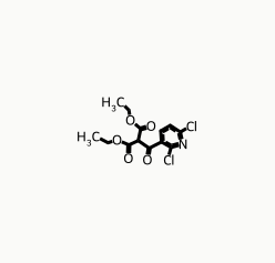 CCOC(=O)C(C(=O)OCC)C(=O)c1ccc(Cl)nc1Cl